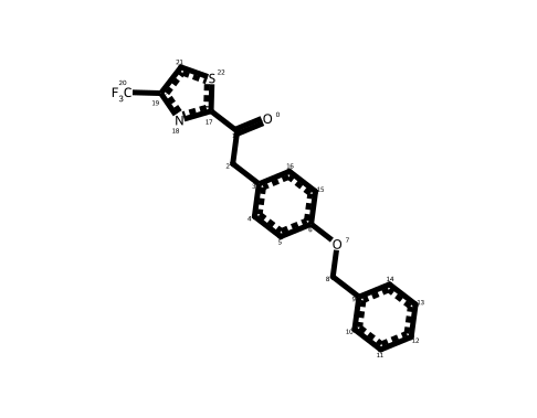 O=C(Cc1ccc(OCc2ccccc2)cc1)c1nc(C(F)(F)F)cs1